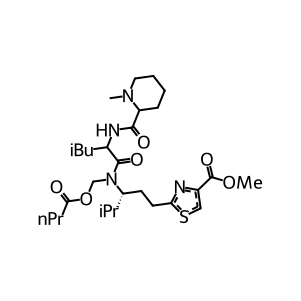 CCCC(=O)OCN(C(=O)C(NC(=O)C1CCCCN1C)C(C)CC)[C@H](CCc1nc(C(=O)OC)cs1)C(C)C